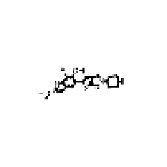 Cn1cc2cc(-c3cc4cn(C5CCNCC5)nc4s3)c(O)c(F)c2n1